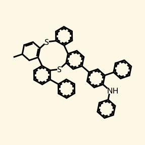 CC1C=CC2=C(C1)c1cccc(-c3ccccc3)c1Sc1cc(-c3ccc(Nc4ccccc4)c(-c4ccccc4)c3)ccc1-c1ccccc1S2